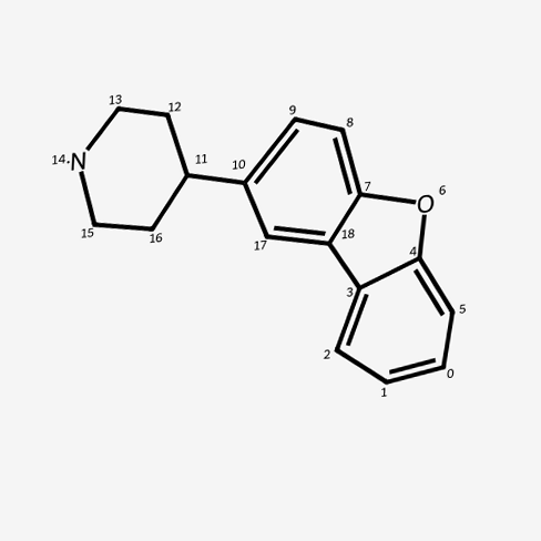 c1ccc2c(c1)oc1ccc(C3CC[N]CC3)cc12